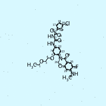 CCOCCOc1cc(NC(=O)NS(=O)(=O)c2ccc(Cl)s2)ccc1N1COc2cc(NC)c(F)cc2C1=O